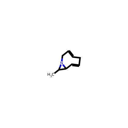 CC1C2/C=C/C/C=C/CN12